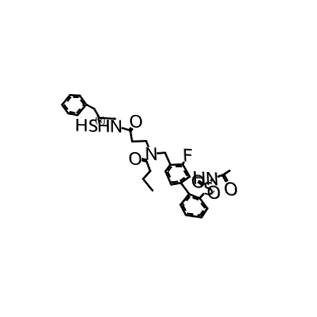 CCCC(=O)N(CCC(=O)NC[C@H](S)Cc1ccccc1)Cc1ccc(-c2ccccc2S(=O)(=O)NC(C)=O)cc1F